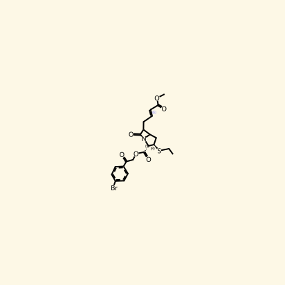 CCS[C@@H]1CC2C(C/C=C/C(=O)OC)C(=O)N2[C@H]1C(=O)OCC(=O)c1ccc(Br)cc1